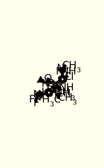 Cc1nnc(-c2cc([C@@H](COC(=O)NC3CC3)N3C(=N)N[C@](CC(C)(C)C)(c4ccc(-c5cnn(C(F)F)c5)cc4)C3=O)ccc2Cl)[nH]1